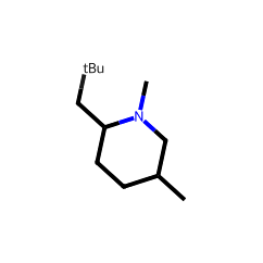 CC1CCC(CC(C)(C)C)N(C)C1